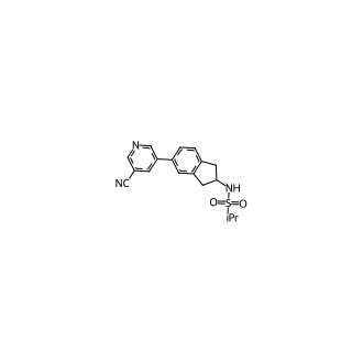 CC(C)S(=O)(=O)NC1Cc2ccc(-c3cncc(C#N)c3)cc2C1